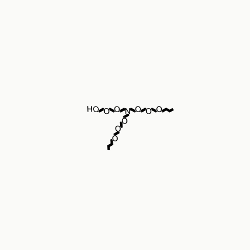 CCCCOCCOCCOCCN(CCOCCOCCO)CCOCCOCCOCCCC